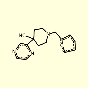 N#CC1(c2cnccn2)CCN(Cc2ccccc2)CC1